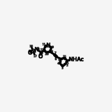 CC(=O)Nc1cccc(C#Cc2cncc(C(=O)N=S(C)(C)=O)c2)c1